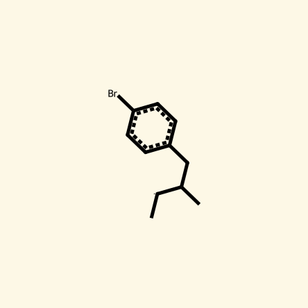 C[CH]C(C)Cc1ccc(Br)cc1